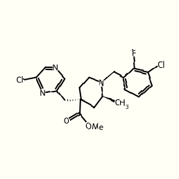 COC(=O)[C@@]1(Cc2cncc(Cl)n2)CCN(Cc2cccc(Cl)c2F)[C@@H](C)C1